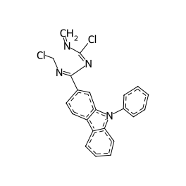 C=N/C(Cl)=N\C(=N/CCl)c1ccc2c3ccccc3n(-c3ccccc3)c2c1